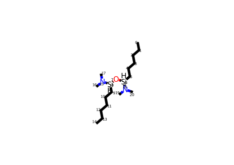 CCCCCC[SiH](O[SiH](CCCCCC)N(C)C)N(C)C